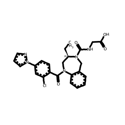 CC[C@@H]1CN(C(=O)c2ccc(-n3cccn3)cc2Cl)c2ccccc2CN1C(=O)NCC(=O)O